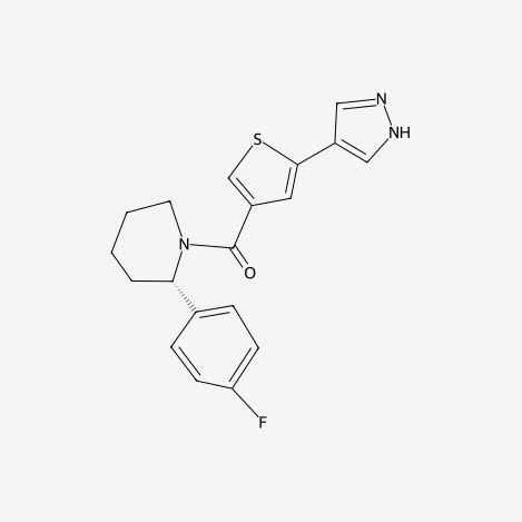 O=C(c1csc(-c2cn[nH]c2)c1)N1CCCC[C@H]1c1ccc(F)cc1